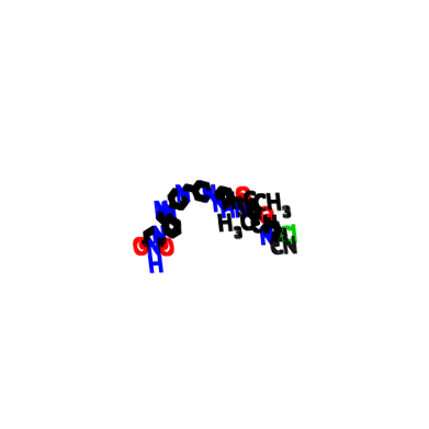 CC1(C)[C@H](NC(=O)c2ccc(N3CCC(CN4CCC(n5ncc6c(N7CCC(=O)NC7=O)cccc65)CC4)CC3)nc2)C(C)(C)[C@H]1Oc1cnc(C#N)c(Cl)c1